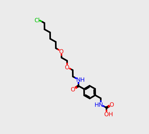 O=C(O)NCc1ccc(C(=O)NCCOCCOCCCCCCCl)cc1